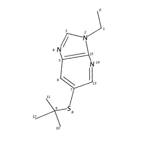 CCn1cnc2cc(SC(C)(C)C)cnc21